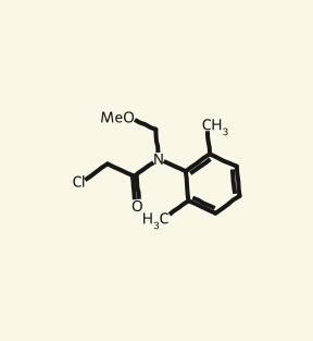 COCN(C(=O)CCl)c1c(C)cccc1C